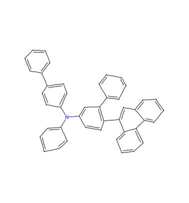 c1ccc(-c2ccc(N(c3ccccc3)c3ccc(-c4cc5ccccc5c5ccccc45)c(-c4ccccc4)c3)cc2)cc1